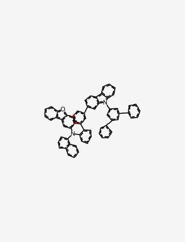 c1ccc(-c2cc(-c3ccccc3)cc(-n3c4ccccc4c4ccc(-c5cccc(-c6ccccc6N(c6ccc7oc8ccccc8c7c6)c6cccc7ccccc67)c5)cc43)c2)cc1